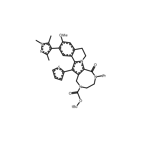 COc1cc2c(cc1-c1c(C)nn(C)c1C)-c1c(-c3cccs3)c3c(n1CC2)C(=O)N(C(C)C)CCN(C(=O)OC(C)(C)C)C3